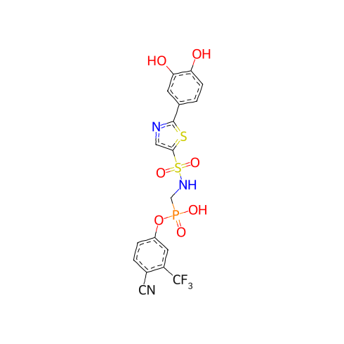 N#Cc1ccc(OP(=O)(O)CNS(=O)(=O)c2cnc(-c3ccc(O)c(O)c3)s2)cc1C(F)(F)F